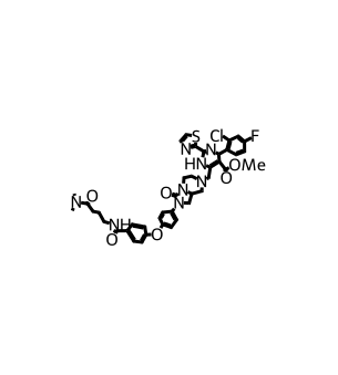 COC(=O)C1=C(CN2CCN3C(=O)N(c4ccc(Oc5ccc(C(=O)NCCCC(=O)N(C)C)cc5)cc4)CC3C2)NC(c2nccs2)=NC1c1ccc(F)cc1Cl